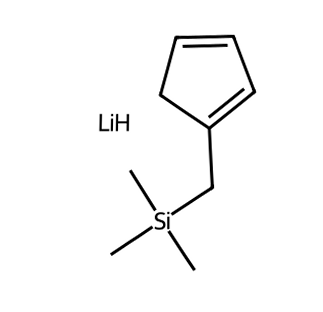 C[Si](C)(C)CC1=CC=CC1.[LiH]